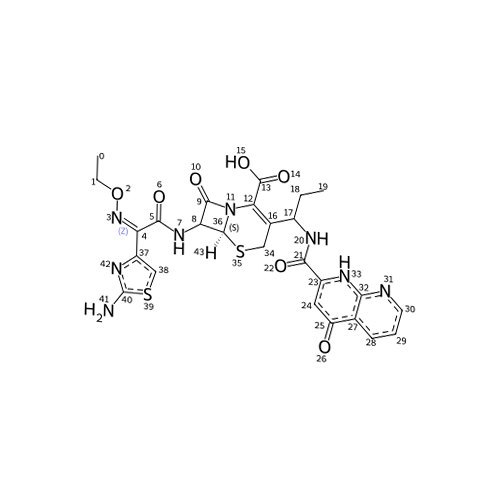 CCO/N=C(\C(=O)NC1C(=O)N2C(C(=O)O)=C(C(CC)NC(=O)c3cc(=O)c4cccnc4[nH]3)CS[C@@H]12)c1csc(N)n1